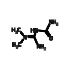 C[N+](C)=C(N)NC(N)=O